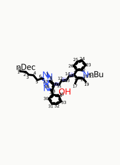 CCCCCCCCCCCCCCCc1nnc2\c(=C/C=C/C=C3\C(C)=C(C)N(CCCC)c4ccccc43)c(-c3ccccc3O)nn12